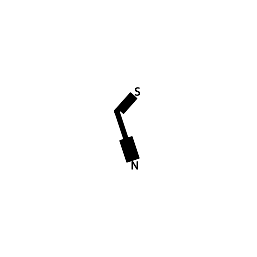 N#CC=S